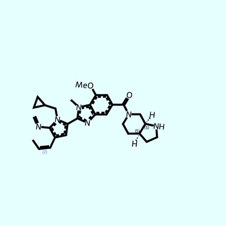 C=Nc1c(/C=C\C)cc(-c2nc3cc(C(=O)N4CC[C@@H]5CCN[C@@H]5C4)cc(OC)c3n2C)n1CC1CC1